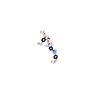 Cc1ccc(COCC(F)(F)F)c(N2C(=O)CSC2=NC(=O)Nc2ccc(-c3ncn(-c4ccc(OC(F)(F)F)cc4)n3)cc2Cl)c1